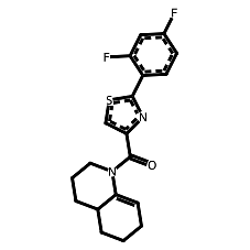 O=C(c1csc(-c2ccc(F)cc2F)n1)N1CCCC2CCCC=C21